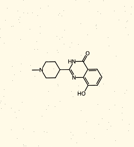 CN1CCC(c2nc3c(O)cccc3c(=O)[nH]2)CC1